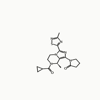 Cc1nsc(-c2nc(N3CCCC3=O)c3n2CCN(C(=O)C2CC2)[C@@H]3C)n1